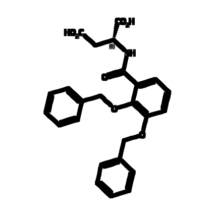 O=C(O)C[C@@H](NC(=O)c1cccc(OCc2ccccc2)c1OCc1ccccc1)C(=O)O